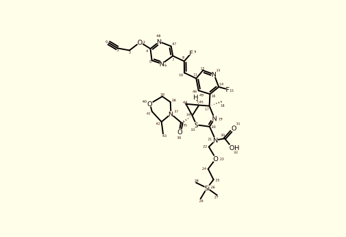 C#CCOc1cnc(/C(F)=C/c2cnc(F)c([C@@]3(C)N=C(N(COCC[Si](C)(C)C)C(=O)O)S[C@@]4(C(=O)N5CCOCC5C)C[C@H]43)c2)cn1